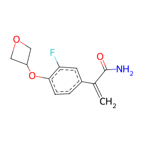 C=C(C(N)=O)c1ccc(OC2COC2)c(F)c1